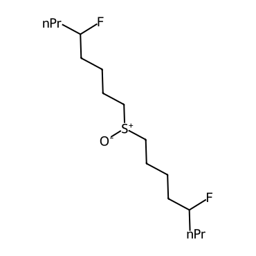 CCCC(F)CCCC[S+]([O-])CCCCC(F)CCC